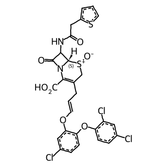 O=C(Cc1cccs1)NC1C(=O)N2C(C(=O)O)=C(CC=COc3cc(Cl)ccc3Oc3ccc(Cl)cc3Cl)C[S+]([O-])[C@@H]12